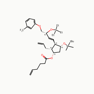 C=CCCCC(=O)O[C@H]1C[C@@H](O[Si](C)(C)C(C)(C)C)[C@H](C=C[C@H](COc2cccc(C(F)(F)F)c2)O[Si](CC)(CC)CC)[C@H]1CC=C